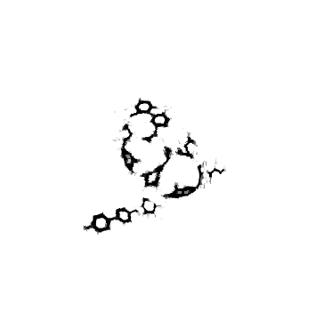 CC(C)C[C@H](N)C(=O)N[C@H]1C(=O)N[C@@H](CC(N)=O)C(=O)N[C@H]2C(=O)NC3C(=O)N[C@H](C(=O)N[C@H](C(=O)O)c4cc(O)cc(O)c4-c4cc3ccc4O)[C@H](O)c3ccc(c(Cl)c3)Oc3cc2cc(c3OC2C[C@](C)(NCc3ccc(-c4ccc(Cl)cc4)cc3)[C@H](O)[C@H](C)O2)Oc2ccc(cc2Cl)[C@H]1O